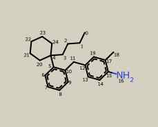 CCCCC1(c2ccccc2Cc2ccc(N)c(C)c2)CCCCC1